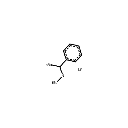 CCCCC([N-]C(C)(C)C)c1ccccc1.[Li+]